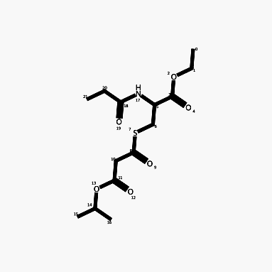 CCOC(=O)C(CSC(=O)CC(=O)OC(C)C)NC(=O)CC